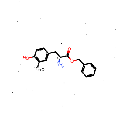 N[C@@H](Cc1ccc(O)c(C=O)c1)C(=O)OCc1ccccc1